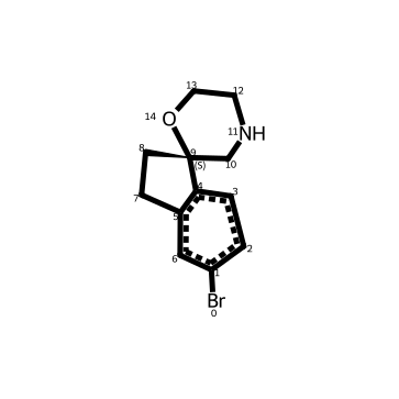 Brc1ccc2c(c1)CC[C@@]21CNCCO1